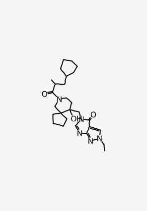 CCn1cc2c(=O)n(CC3(O)CCN(C(=O)C(C)CC4CCCCC4)CC34CCCC4)cnc2n1